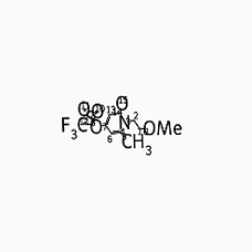 COCCn1c(C)cc(OS(=O)(=O)C(F)(F)F)cc1=O